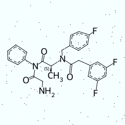 C[C@@H](C(=O)N(C(=O)CN)c1ccccc1)N(Cc1ccc(F)cc1)C(=O)Cc1cc(F)cc(F)c1